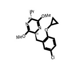 COC1=N[C@H](C(C)C)C(OC)=N[C@H]1Cc1cc(Cl)ccc1OC1CC1